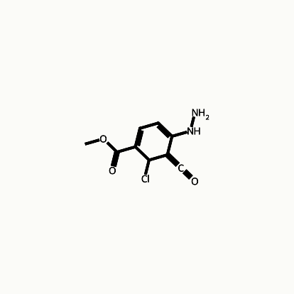 COC(=O)C1=CC=C(NN)C(=C=O)C1Cl